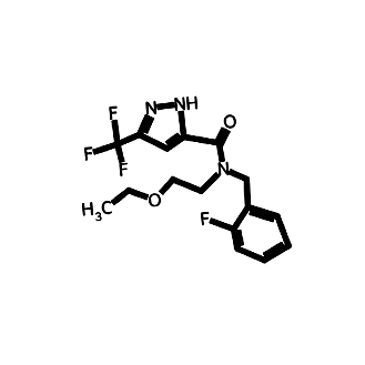 CCOCCN(Cc1ccccc1F)C(=O)c1cc(C(F)(F)F)n[nH]1